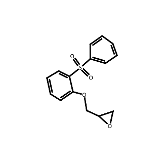 O=S(=O)(c1ccccc1)c1ccccc1OCC1CO1